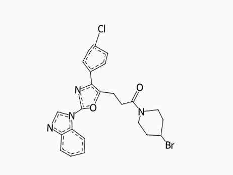 O=C(CCc1oc(-n2cnc3ccccc32)nc1-c1ccc(Cl)cc1)N1CCC(Br)CC1